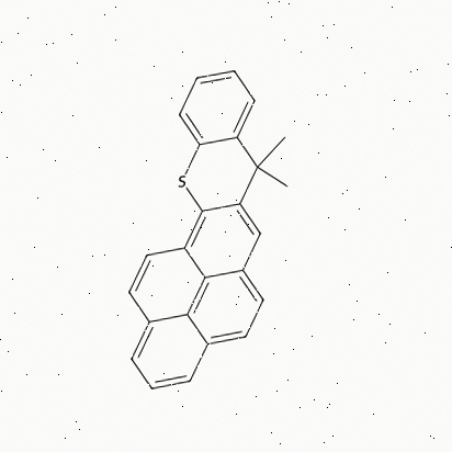 CC1(C)c2ccccc2Sc2c1cc1ccc3cccc4ccc2c1c34